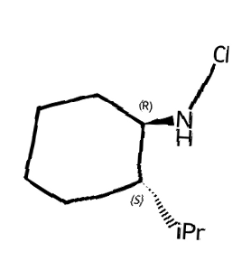 CC(C)[C@@H]1CCCC[C@H]1NCl